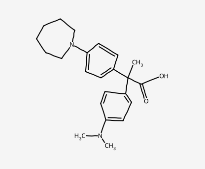 CN(C)c1ccc(C(C)(C(=O)O)c2ccc(N3CCCCCC3)cc2)cc1